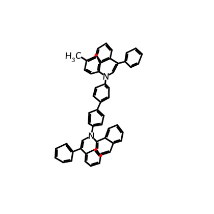 Cc1ccc(N(C=C(c2ccccc2)c2ccccc2)c2ccc(-c3ccc(N(C=C(c4ccccc4)c4ccccc4)c4cccc5ccccc45)cc3)cc2)cc1